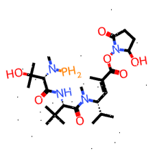 C/C(=C\[C@H](C(C)C)N(C)C(=O)[C@@H](NC(=O)[C@@H](N(C)P)C(C)(C)O)C(C)(C)C)C(=O)ON1C(=O)CCC1O